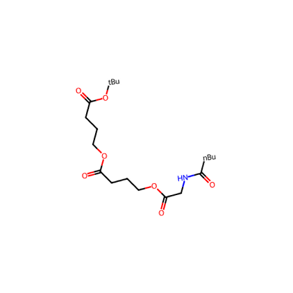 CCCCC(=O)NCC(=O)OCCCC(=O)OCCCC(=O)OC(C)(C)C